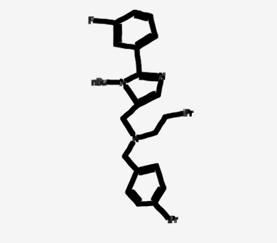 CCCCn1c(CN(CCC(C)C)Cc2ccc(C(C)C)cc2)cnc1-c1cccc(F)c1